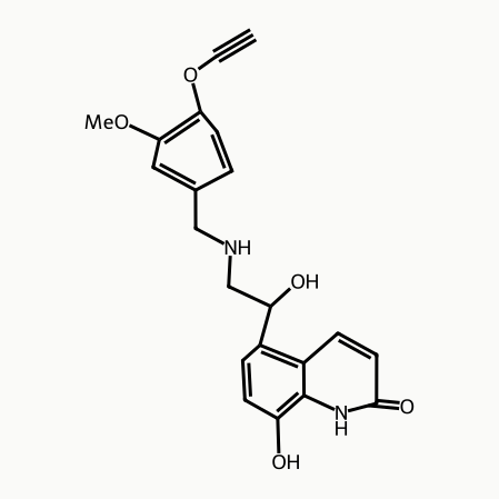 C#COc1ccc(CNCC(O)c2ccc(O)c3[nH]c(=O)ccc23)cc1OC